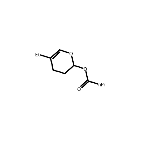 CCCC(=O)OC1CCC(CC)=CO1